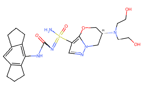 NS(=O)(=NC(=O)Nc1c2c(cc3c1CCC3)CCC2)c1cnn2c1OC[C@H](N(CCO)CCO)C2